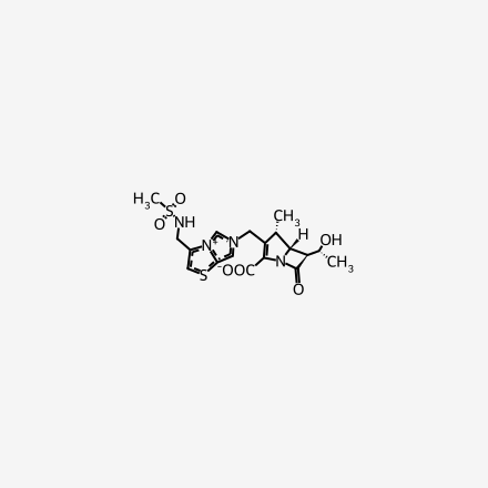 C[C@@H](O)[C@H]1C(=O)N2C(C(=O)[O-])=C(Cn3cc4scc(CNS(C)(=O)=O)[n+]4c3)[C@H](C)[C@H]12